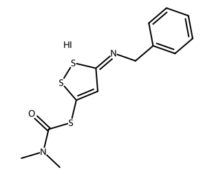 CN(C)C(=O)Sc1cc(=NCc2ccccc2)ss1.I